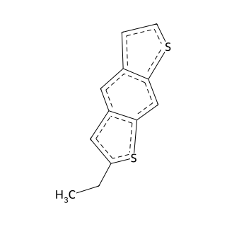 CCc1cc2cc3ccsc3cc2s1